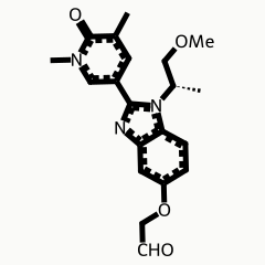 COC[C@H](C)n1c(-c2cc(C)c(=O)n(C)c2)nc2cc(OCC=O)ccc21